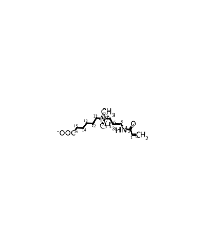 C=CC(=O)NCCC[N+](C)(C)CCCCCC(=O)[O-]